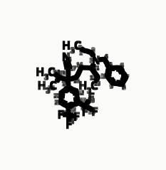 CCCN(Cc1ccccc1)C(CC)CCC(C#N)(c1ccc(C(F)(F)F)c(C(F)(F)F)c1)C(C)C